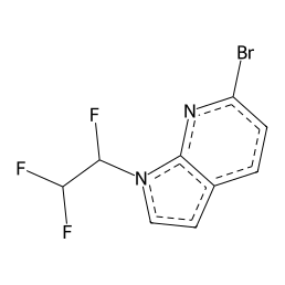 FC(F)C(F)n1ccc2ccc(Br)nc21